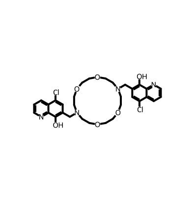 Oc1c(CN2CCOCCOCCN(Cc3cc(Cl)c4cccnc4c3O)CCOCCOCC2)cc(Cl)c2cccnc12